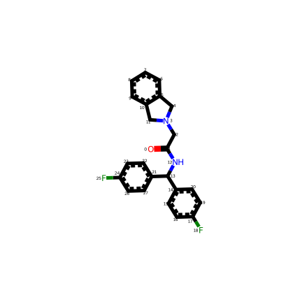 O=C(CN1Cc2ccccc2C1)NC(c1ccc(F)cc1)c1ccc(F)cc1